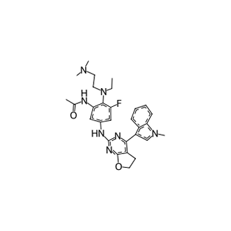 CCN(CCN(C)C)c1c(F)cc(Nc2nc3c(c(-c4cn(C)c5ccccc45)n2)CCO3)cc1NC(C)=O